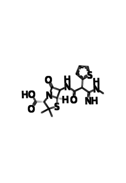 CNC(=N)C(C(=O)NC1C(=O)N2[C@@H]1SC(C)(C)[C@@H]2C(=O)O)c1cccs1